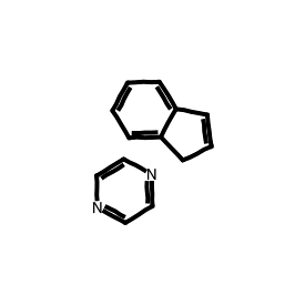 C1=Cc2ccccc2C1.c1cnccn1